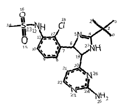 CC(C)(C)C1=NC(c2cccc(NS(C)(=O)=O)c2Cl)C(c2ccnc(N)n2)N1